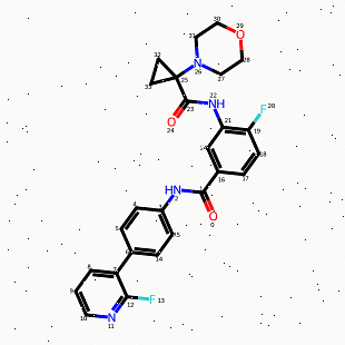 O=C(Nc1ccc(-c2cccnc2F)cc1)c1ccc(F)c(NC(=O)C2(N3CCOCC3)CC2)c1